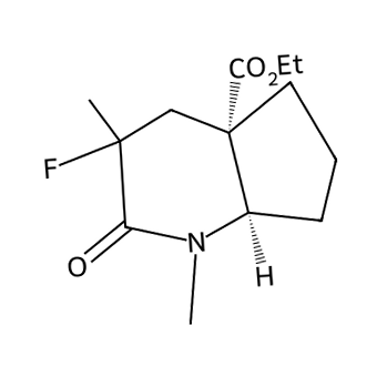 CCOC(=O)[C@]12CCC[C@H]1N(C)C(=O)C(C)(F)C2